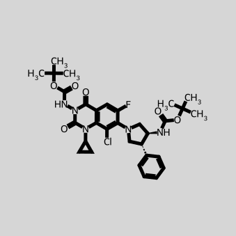 CC(C)(C)OC(=O)N[C@@H]1CN(c2c(F)cc3c(=O)n(NC(=O)OC(C)(C)C)c(=O)n(C4CC4)c3c2Cl)C[C@H]1c1ccccc1